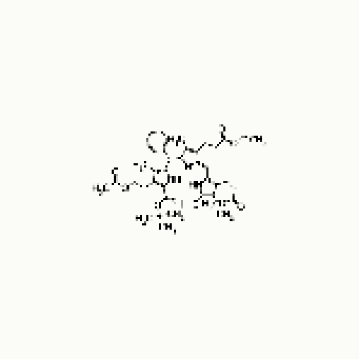 CCOC(=O)CCC1=C(C)C(C(c2ccccc2)c2[nH]c(C(=O)OC(C)(C)C)c(CCOC(C)=O)c2C)=NC1=Cc1[nH]c(C)c(C)c1CCC(=O)OC